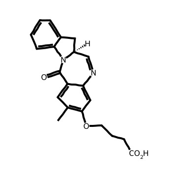 Cc1cc2c(cc1OCCCC(=O)O)N=C[C@@H]1Cc3ccccc3N1C2=O